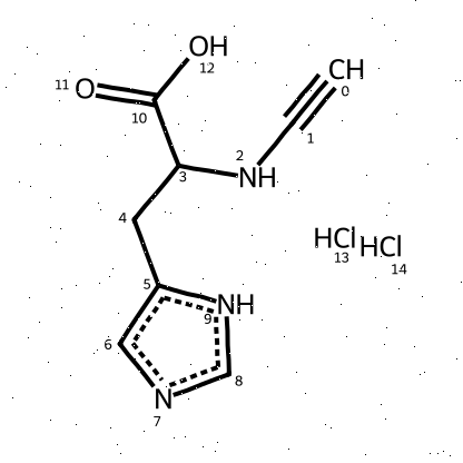 C#CNC(Cc1cnc[nH]1)C(=O)O.Cl.Cl